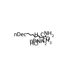 CCCCCCCCCCCCCCCCC(C)(C)C(N)=O.CCCN.Cl